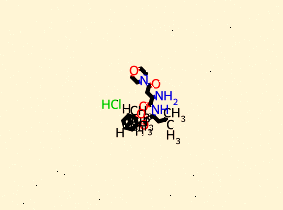 CC(C)CC(NC(=O)C(N)CC(=O)N1CCOCC1)B1O[C@@H]2C[C@@H]3C[C@@H](C3(C)C)[C@]2(C)O1.Cl